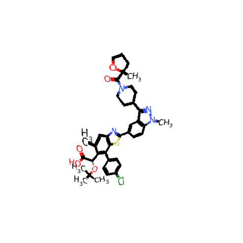 Cc1cc2nc(-c3ccc4c(c3)c(C3CCN(C(=O)C5(C)CCCO5)CC3)nn4C)sc2c(-c2ccc(Cl)cc2)c1[C@H](OC(C)(C)C)C(=O)O